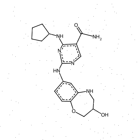 NC(=O)c1cnc(Nc2ccc3c(c2)NCC(O)CO3)nc1NC1CCCC1